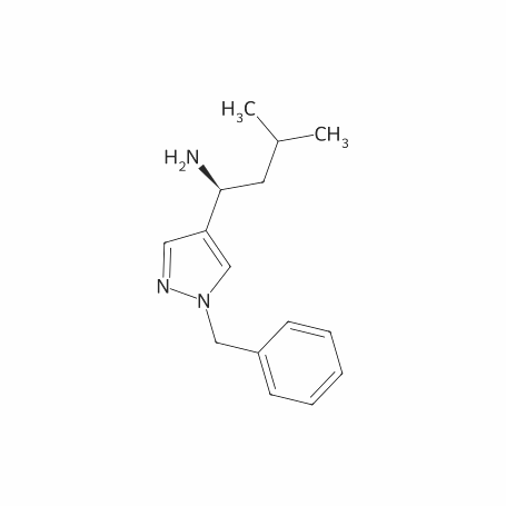 CC(C)C[C@H](N)c1cnn(Cc2ccccc2)c1